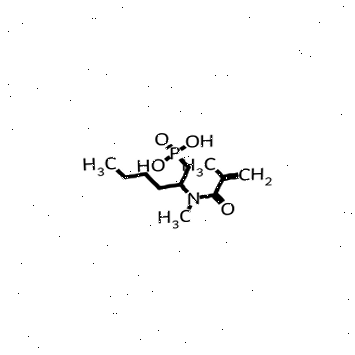 C=C(C)C(=O)N(C)C(CCCC)CP(=O)(O)O